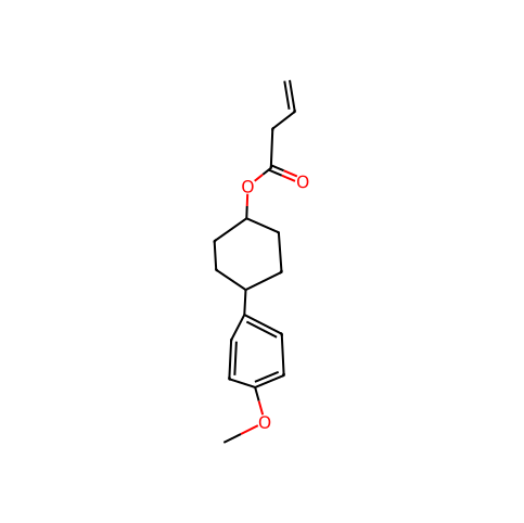 C=CCC(=O)OC1CCC(c2ccc(OC)cc2)CC1